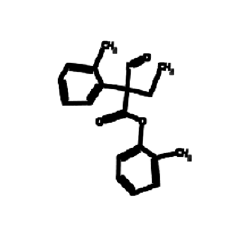 CCC(P=O)(C(=O)Oc1ccccc1C)c1ccccc1C